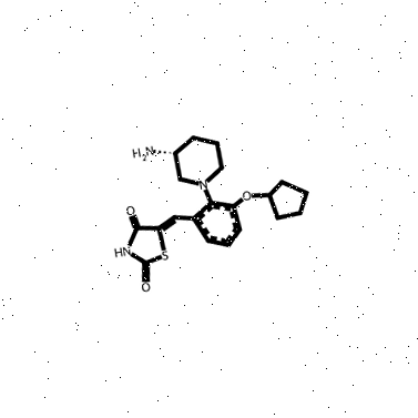 N[C@@H]1CCCN(c2c(C=C3SC(=O)NC3=O)cccc2OC2CCCC2)C1